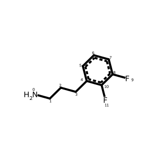 NCCCc1cccc(F)c1F